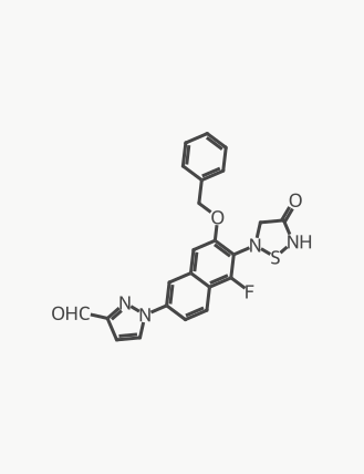 O=Cc1ccn(-c2ccc3c(F)c(N4CC(=O)NS4)c(OCc4ccccc4)cc3c2)n1